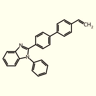 C=Cc1ccc(-c2ccc(-c3nc4ccccc4n3-c3ccccc3)cc2)cc1